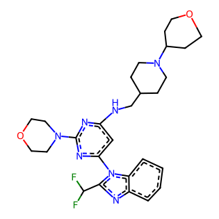 FC(F)c1nc2ccccc2n1-c1cc(NCC2CCN(C3CCOCC3)CC2)nc(N2CCOCC2)n1